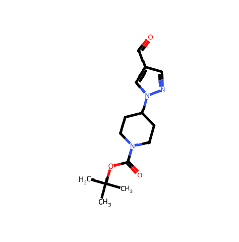 CC(C)(C)OC(=O)N1CCC(n2cc(C=O)cn2)CC1